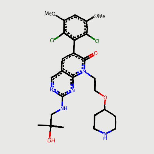 COc1cc(OC)c(Cl)c(-c2cc3cnc(NCC(C)(C)O)nc3n(CCOC3CCNCC3)c2=O)c1Cl